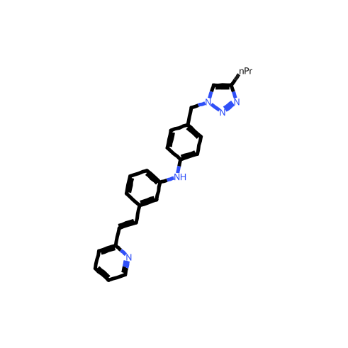 CCCc1cn(Cc2ccc(Nc3cccc(/C=C/c4ccccn4)c3)cc2)nn1